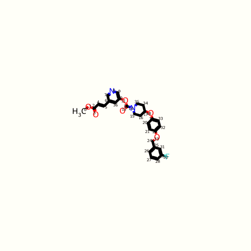 COC(=O)C=Cc1cncc(OC(=O)N2CCC(Oc3ccc(OCc4cccc(F)c4)cc3)CC2)c1